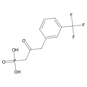 O=C(Cc1cccc(C(F)(F)F)c1)CP(=O)(O)O